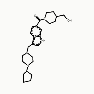 O=C(c1ccc2c(CN3CCN(C4CCCC4)CC3)c[nH]c2c1)N1CCC(CO)CC1